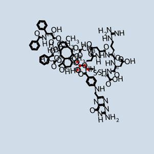 CC(=O)O[C@H]1C(=O)[C@@]2(C)C([C@H](OC(=O)c3ccccc3)[C@]3(O)C[C@H](OC(=O)[C@H](O)[C@@H](NC(=O)c4ccccc4)c4ccccc4)C(C)=C1C3(C)C)[C@]1(OC(C)=O)CO[C@@H]1C[C@@H]2OC(=O)OCCSSC[C@H](NC(=O)[C@H](CC(=O)O)NC(=O)[C@H](CCCNC(=N)N)NC(=O)C(CC(=O)O)NC(=O)CC[C@H](NC(=O)c1ccc(NCc2cnc3nc(N)[nH]c(=O)c3n2)cc1)C(=O)O)C(=O)O